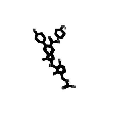 Cn1c(Nc2c(F)ccc(CNC(=O)C(C)(C)C)c2F)nc2cc(C(=O)N[C@H]3CC[C@H](C(F)(F)F)CC3)c(N3CCC(F)CC3)cc21